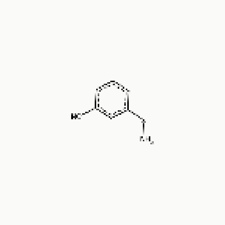 N#Cc1cccc(SN)c1